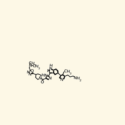 CCc1c(CCCN)cncc1-c1ccc2[nH]nc(-c3ncc(C(=O)N4CCC(c5nnc(CN(C)C)o5)CC4)[nH]3)c2c1